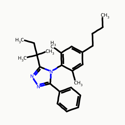 CCCCc1cc(C)c(-n2c(-c3ccccc3)nnc2C(C)(C)CC)c(C)c1